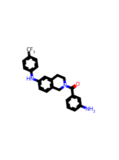 Nc1cccc(C(=O)N2CCc3cc(Nc4ccc(C(F)(F)F)cc4)ccc3C2)c1